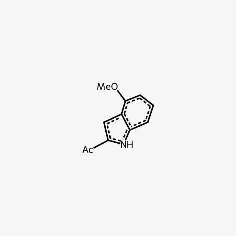 COc1cccc2[nH]c(C(C)=O)cc12